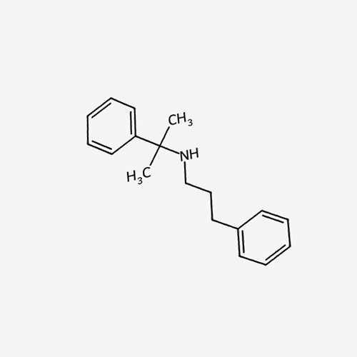 CC(C)(NCCCc1ccccc1)c1ccccc1